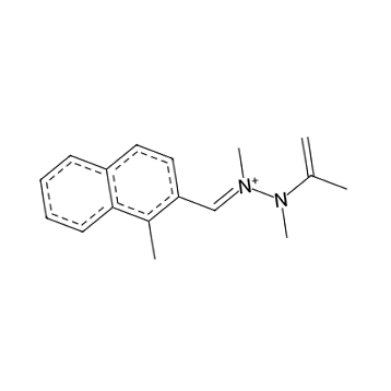 C=C(C)N(C)/[N+](C)=C/c1ccc2ccccc2c1C